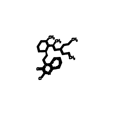 CCCC(CCC)C[C@H](C)N1[C@@H](CCn2c(=O)c(Cl)nc3ccccc32)CCC[C@H]1C